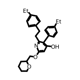 CCc1ccc(CCc2nc(OCC3CCCCO3)cc(O)c2-c2ccc(CC)cc2)cc1